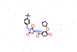 COc1ccc(C(=O)NC2CC(=O)N(Cc3ccc(C(C)(C)C)cc3)C2=O)cc1OC1CCCC1